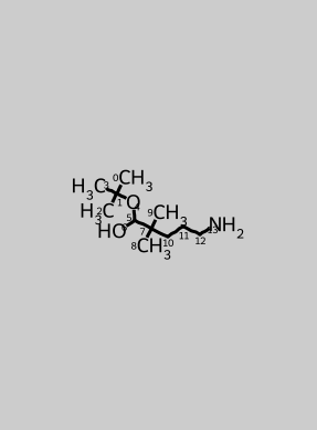 CC(C)(C)OC(O)C(C)(C)CCCN